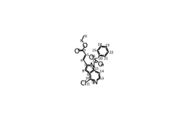 CCOC(=O)C=Cc1cc2c(Cl)nccc2n1S(=O)(=O)c1ccccc1